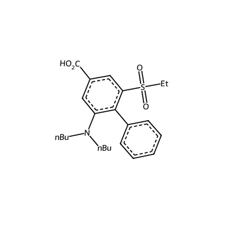 CCCCN(CCCC)c1cc(C(=O)O)cc(S(=O)(=O)CC)c1-c1ccccc1